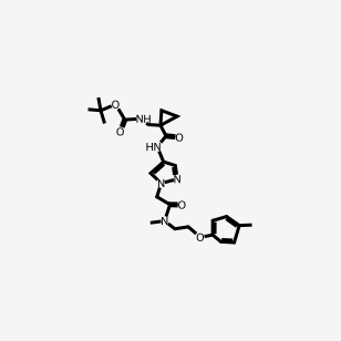 Cc1ccc(OCCN(C)C(=O)Cn2cc(NC(=O)C3(CNC(=O)OC(C)(C)C)CC3)cn2)cc1